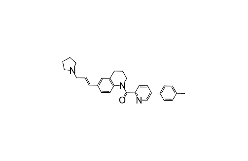 Cc1ccc(-c2ccc(C(=O)N3CCCc4cc(C=CCN5CCCC5)ccc43)nc2)cc1